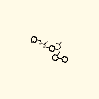 CC(C)CN(Cc1ccccc1-c1ccccc1)c1ccc(NC(=O)NCc2cccnc2)cc1